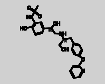 CS(=O)(=O)Nc1cc([C@@H](O)CN[C@H](CO)Cc2ccc(Oc3ccccn3)cc2)ccc1O